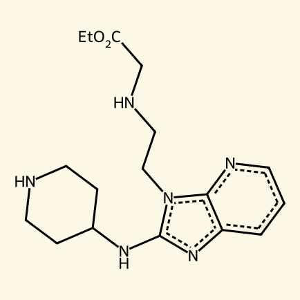 CCOC(=O)CNCCn1c(NC2CCNCC2)nc2cccnc21